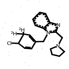 [2H]C1([2H])C=C(Cn2c(CN3CCCC3)nc3ccccc32)C=CC1Cl